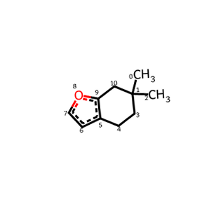 CC1(C)CCc2ccoc2C1